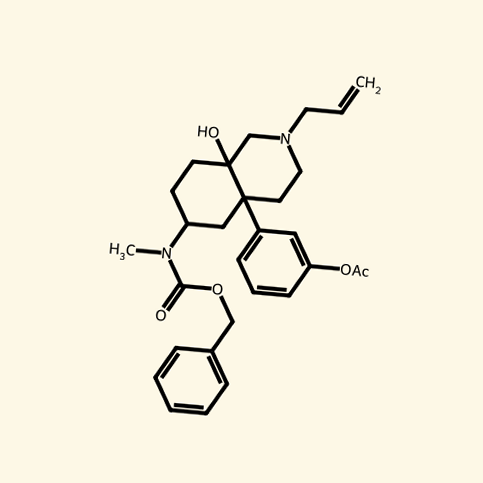 C=CCN1CCC2(c3cccc(OC(C)=O)c3)CC(N(C)C(=O)OCc3ccccc3)CCC2(O)C1